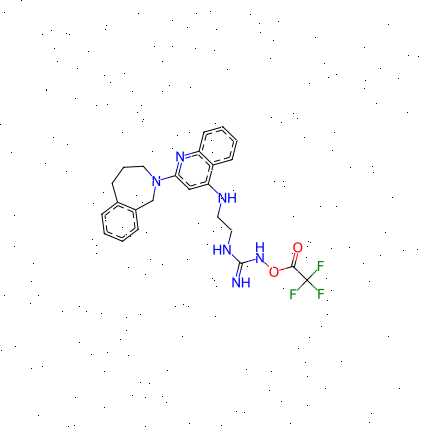 N=C(NCCNc1cc(N2CCCc3ccccc3C2)nc2ccccc12)NOC(=O)C(F)(F)F